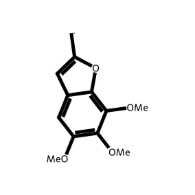 [CH2]c1cc2cc(OC)c(OC)c(OC)c2o1